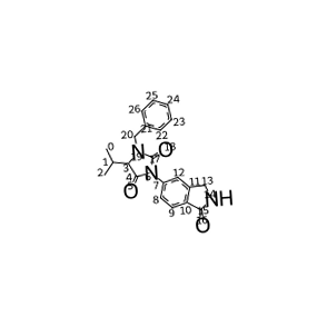 CC(C)C1C(=O)N(c2ccc3c(c2)CNC3=O)C(=O)N1Cc1ccccc1